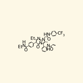 C=CC(=O)Nc1ccccc1-c1c(C)n(CC(=O)Nc2ccc(C(F)(F)F)cc2)c2nc(CC)c(-c3ccc(C(=O)NCC)cc3)c(=O)n12